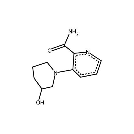 NC(=O)c1ncccc1N1CCCC(O)C1